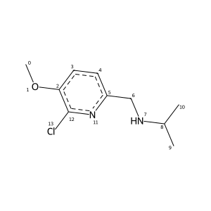 COc1ccc(CNC(C)C)nc1Cl